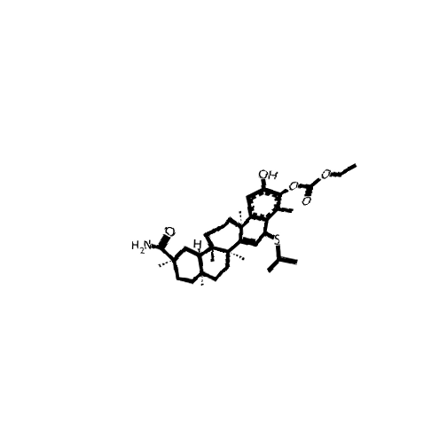 CCOC(=O)Oc1c(O)cc2c(c1C)C(SC(C)C)C=C1[C@@]2(C)CC[C@@]2(C)[C@@H]3C[C@](C)(C(N)=O)CC[C@]3(C)CC[C@]12C